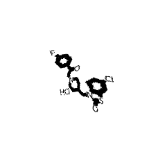 Cl.O=C(CN1CCC(Cn2c(=O)sc3cc(Cl)ccc32)CC1)c1ccc(F)cc1